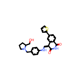 O=C1NC(=O)c2ccc(-c3cccs3)cc2/C1=C/Nc1ccc(CN2CCCC2CO)cc1